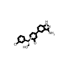 Nc1n[nH]c2ccc(-c3ccn([C@H](CO)c4cccc(Cl)c4)c(=O)c3)cc12